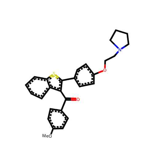 COc1ccc(C(=O)c2c(-c3ccc(OCCN4CCCC4)cc3)sc3ccccc23)cc1